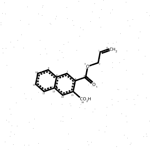 C=CCOC(=O)c1cc2ccccc2cc1C(=O)O